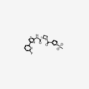 CS(=O)(=O)n1ccc(C(=O)N2CC[C@H]2C(=O)Nc2nc(-c3cccc(F)n3)cs2)c1